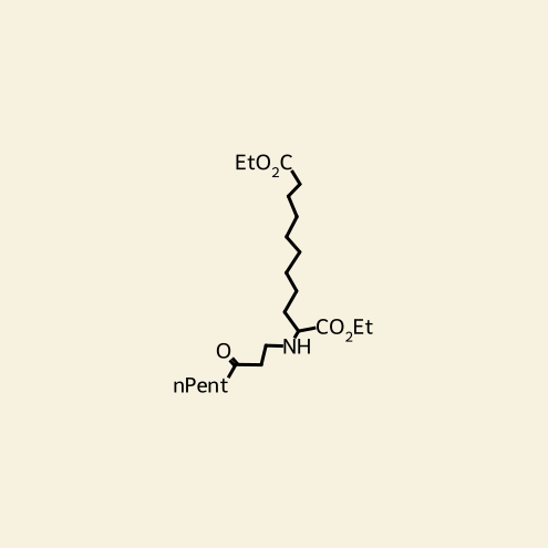 CCCCCC(=O)CCNC(CCCCCCCCC(=O)OCC)C(=O)OCC